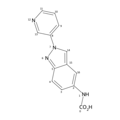 O=C(O)Nc1ccc2nn(-c3cccnc3)cc2c1